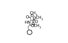 COC(=O)C(NC(=O)Cc1ccccc1)P(=O)(OC)OC